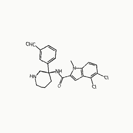 Cn1c(C(=O)NC2(c3cccc(C=O)c3)CCCNC2)cc2c(Cl)c(Cl)ccc21